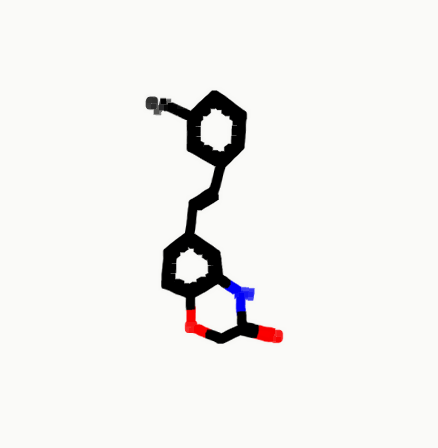 O=C1COc2ccc(C=Cc3cccc([N+](=O)[O-])c3)cc2N1